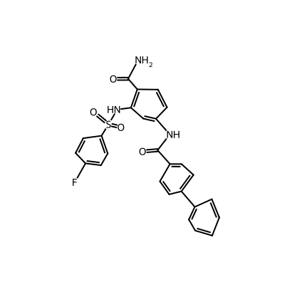 NC(=O)c1ccc(NC(=O)c2ccc(-c3ccccc3)cc2)cc1NS(=O)(=O)c1ccc(F)cc1